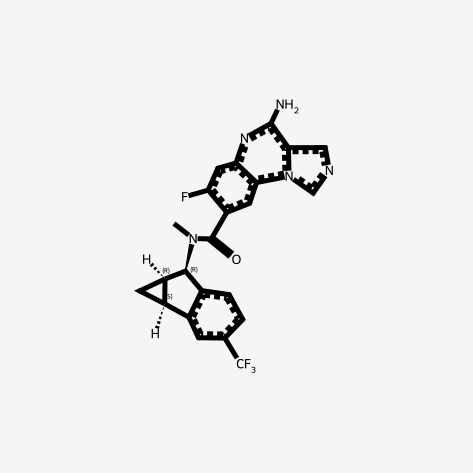 CN(C(=O)c1cc2c(cc1F)nc(N)c1cncn12)[C@H]1c2ccc(C(F)(F)F)cc2[C@H]2C[C@H]21